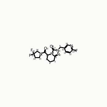 O=C(C1CCCc2nn(Cc3ccc(F)nc3)c(=O)n21)N1CCC(F)(F)C1